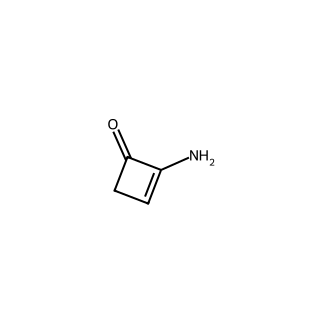 NC1=CCC1=O